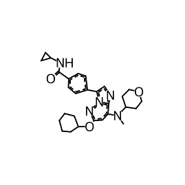 CN(c1cc(OC2CCCCC2)nn2c(-c3ccc(C(=O)NC4CC4)cc3)cnc12)C1CCOCC1